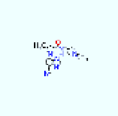 CC1CC(C(=O)NCC2CCN(C)CC2)CN(c2ccc(C3C=N3)c3nccnc23)C1